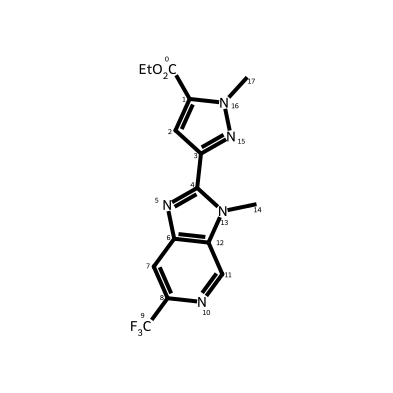 CCOC(=O)c1cc(-c2nc3cc(C(F)(F)F)ncc3n2C)nn1C